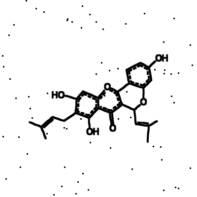 CC(C)=CCc1c(O)cc2oc3c(c(=O)c2c1O)C(C=C(C)C)Oc1cc(O)ccc1-3